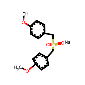 COc1ccc(CS(=O)(=O)Cc2ccc(OC)cc2)cc1.[Na]